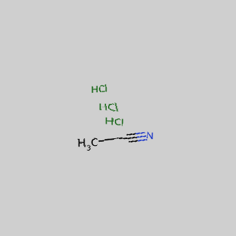 CC#N.Cl.Cl.Cl